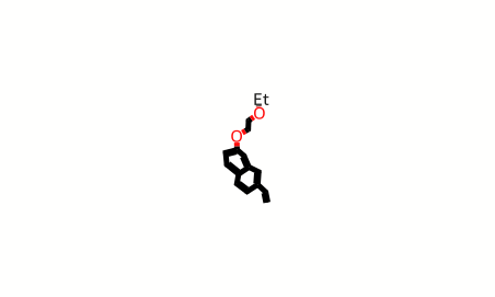 C=Cc1ccc2ccc(OCCOCC)cc2c1